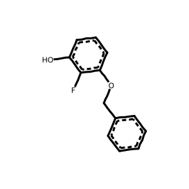 Oc1cccc(OCc2ccccc2)c1F